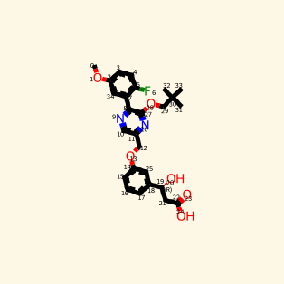 COc1ccc(F)c(-c2ncc(COc3cccc([C@H](O)CC(=O)O)c3)nc2OCC(C)(C)C)c1